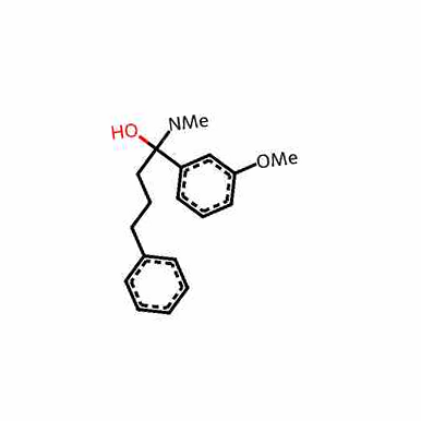 CNC(O)(CCCc1ccccc1)c1cccc(OC)c1